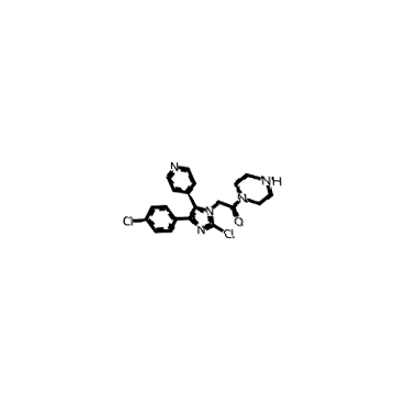 O=C(Cn1c(Cl)nc(-c2ccc(Cl)cc2)c1-c1ccncc1)N1CCNCC1